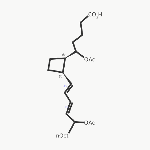 CCCCCCCCC(/C=C/C=C/[C@H]1CC[C@H]1C(CCCC(=O)O)OC(C)=O)OC(C)=O